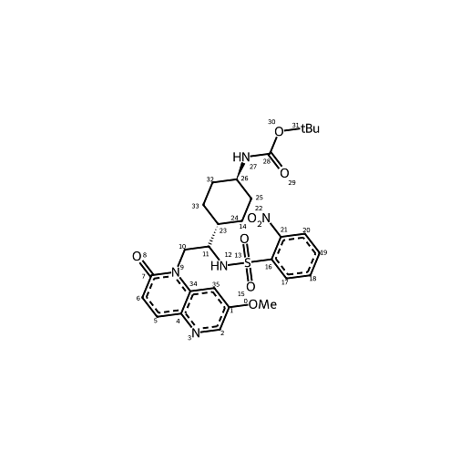 COc1cnc2ccc(=O)n(CC(NS(=O)(=O)c3ccccc3[N+](=O)[O-])[C@H]3CC[C@H](NC(=O)OC(C)(C)C)CC3)c2c1